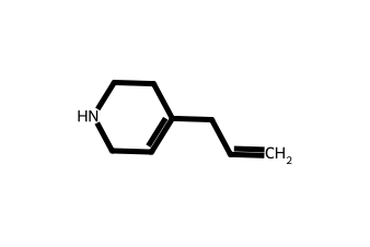 C=CCC1=CCNCC1